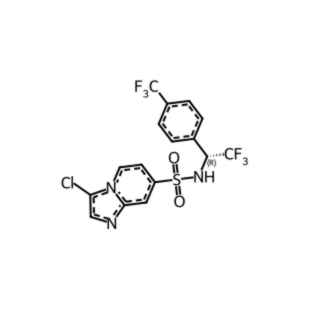 O=S(=O)(N[C@H](c1ccc(C(F)(F)F)cc1)C(F)(F)F)c1ccn2c(Cl)cnc2c1